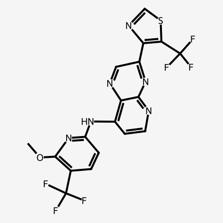 COc1nc(Nc2ccnc3nc(-c4ncsc4C(F)(F)F)cnc23)ccc1C(F)(F)F